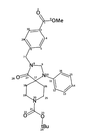 COC(=O)c1ccc(CN2CN(c3ccccc3)C3(CCN(C(=O)OC(C)(C)C)CC3)C2=O)cc1